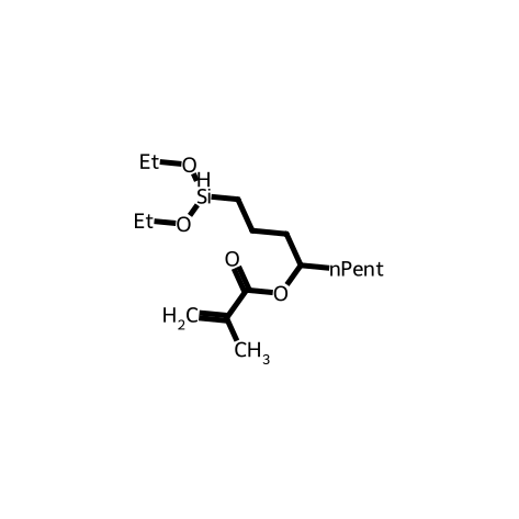 C=C(C)C(=O)OC(CCCCC)CCC[SiH](OCC)OCC